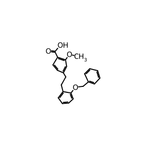 COc1cc(CCc2ccccc2OCc2ccccc2)ccc1C(=O)O